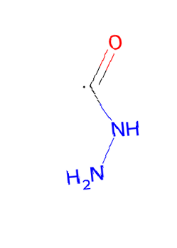 NN[C]=O